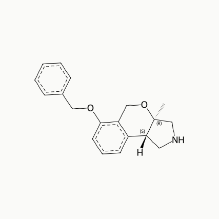 C[C@]12CNC[C@@H]1c1cccc(OCc3ccccc3)c1CO2